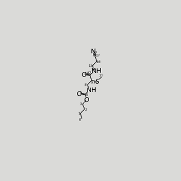 CCCCOC(=O)NCC(SC)C(=O)NCCC#N